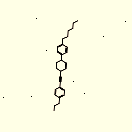 CCCCCCc1ccc(C2CCC(C#Cc3ccc(CCC)cc3)CC2)cc1